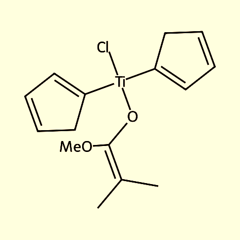 COC([O][Ti]([Cl])([C]1=CC=CC1)[C]1=CC=CC1)=C(C)C